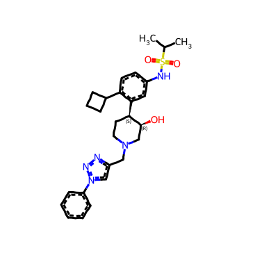 CC(C)S(=O)(=O)Nc1ccc(C2CCC2)c([C@@H]2CCN(Cc3cn(-c4ccccc4)nn3)C[C@@H]2O)c1